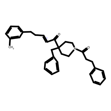 Cc1cccc(CC/C=C/C(=O)C2(Cc3ccccc3)CCN(C(=O)CCc3ccccc3)CC2)c1